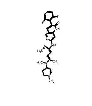 C=N/C(=C\C=C(/C)N(C)C1CCN(C)CC1)Nc1cc2[nH]c(=O)c(-c3c(F)cccc3F)cc2cn1